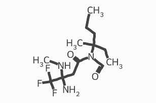 CCCC(C)(CC)N(C=O)C(=O)CC(N)(NC)C(F)(F)F